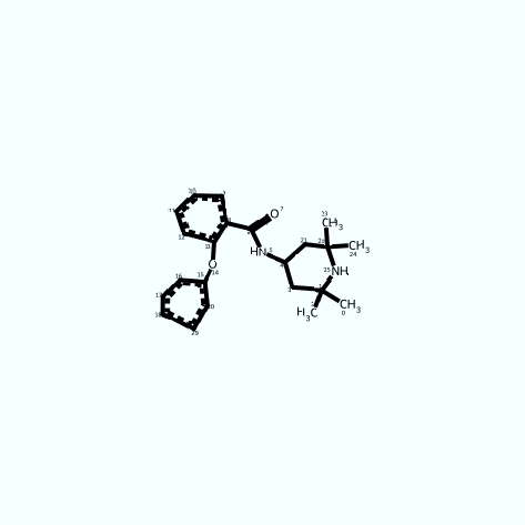 CC1(C)CC(NC(=O)c2ccccc2Oc2ccccc2)CC(C)(C)N1